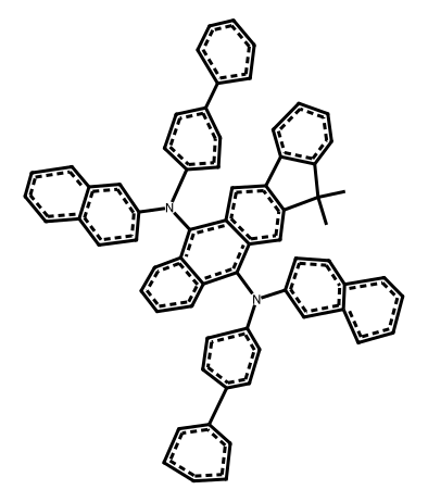 CC1(C)c2ccccc2-c2cc3c(N(c4ccc(-c5ccccc5)cc4)c4ccc5ccccc5c4)c4ccccc4c(N(c4ccc(-c5ccccc5)cc4)c4ccc5ccccc5c4)c3cc21